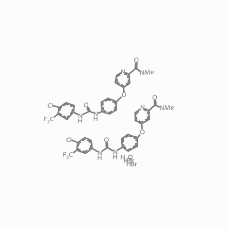 Br.Br.CNC(=O)c1cc(Oc2ccc(NC(=O)Nc3ccc(Cl)c(C(F)(F)F)c3)cc2)ccn1.CNC(=O)c1cc(Oc2ccc(NC(=O)Nc3ccc(Cl)c(C(F)(F)F)c3)cc2)ccn1.O